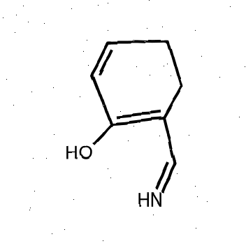 N=CC1=C(O)C=CCC1